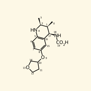 C[C@@H]1[C@H](C)Nc2ccc(OC3CCOC3)cc2[C@@H]1NC(=O)O